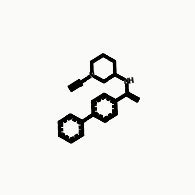 C#CN1CCCC(NC(=C)c2ccc(-c3ccccc3)cc2)C1